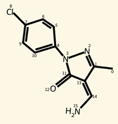 CC1=NN(c2ccc(Cl)cc2)C(=O)C1=CN